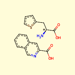 N[C@@H](Cc1cccs1)C(=O)O.O=C(O)c1cc2ccccc2cn1